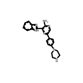 Nc1ncc(-c2ccc(N3CCNCC3)cc2)nc1-c1nc2ccccc2[nH]1